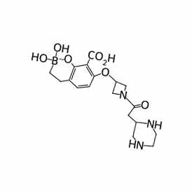 O=C(O)c1c(OC2CN(C(=O)CC3CNCCN3)C2)ccc2c1O[B-](O)(O)CC2